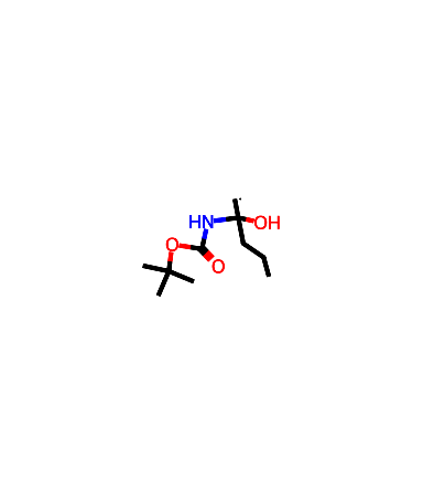 [CH2]C(O)(CCC)NC(=O)OC(C)(C)C